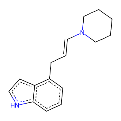 C(=CN1CCCCC1)Cc1cccc2[nH]ccc12